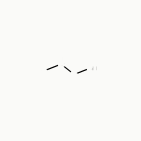 [SiH3][SiH2][SiH2]Cl